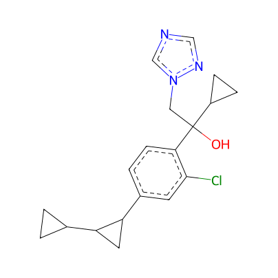 OC(Cn1cncn1)(c1ccc(C2CC2C2CC2)cc1Cl)C1CC1